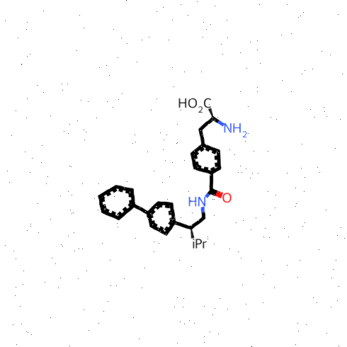 CC(C)[C@H](CNC(=O)c1ccc(C[C@H](N)C(=O)O)cc1)c1ccc(-c2ccccc2)cc1